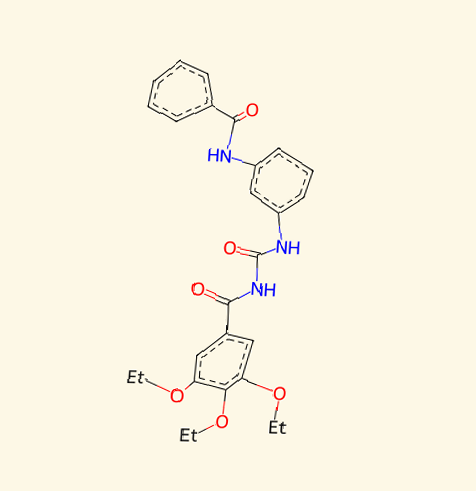 CCOc1cc(C(=O)NC(=O)Nc2cccc(NC(=O)c3ccccc3)c2)cc(OCC)c1OCC